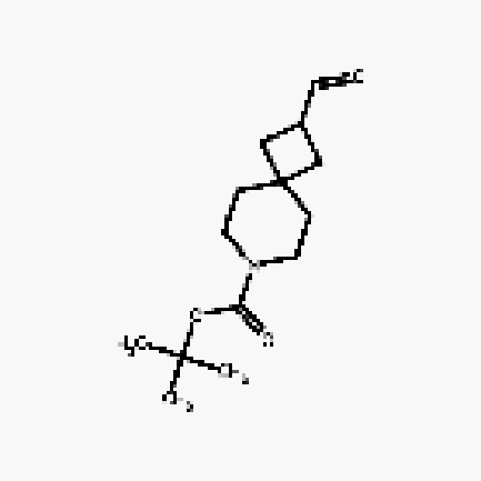 CC(C)(C)OC(=O)N1CCC2(CC1)CC(C=O)C2